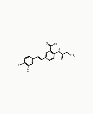 CCC(=O)Nc1ccc(C=Cc2ccc(Cl)c(Cl)c2)cc1C(=O)O